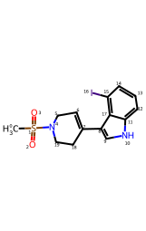 CS(=O)(=O)N1CC=C(c2c[nH]c3cccc(I)c23)CC1